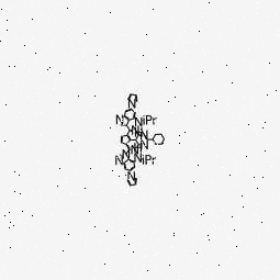 CC(C)Nc1cc(-n2cccc2)cc2c1C(C1=NC3=NC(C4CCCCC4)=NC4=NC(n5cnc6cc(-n7cccc7)cc(NC(C)C)c65)=C5C=CC1=C5C34)C=N2